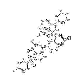 Cc1ccc(S(=O)(=O)n2ccc3c(-c4ccc5nc(Cl)nc(C(COC6CCCCO6)(OC6CC6)c6cccnc6)c5c4)cn(C)c(=O)c32)cc1